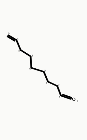 C=CCCCCCCC=O